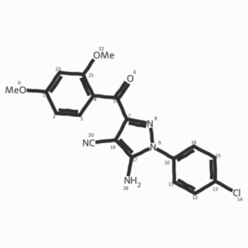 COc1ccc(C(=O)c2nn(-c3ccc(Cl)cc3)c(N)c2C#N)c(OC)c1